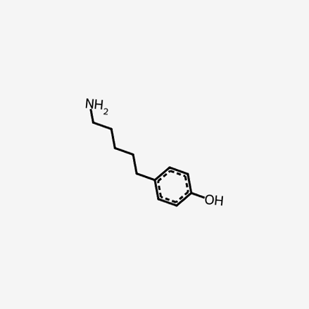 NCCCCCc1ccc(O)cc1